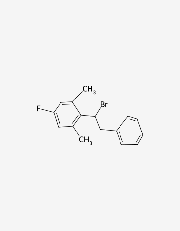 Cc1cc(F)cc(C)c1C(Br)Cc1ccccc1